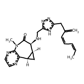 C=C(/C=C\C=C/C)Cc1nnc(CN[C@@H]2C(=O)N(C)c3nccnc3[C@@H]3C[C@H]23)[nH]1